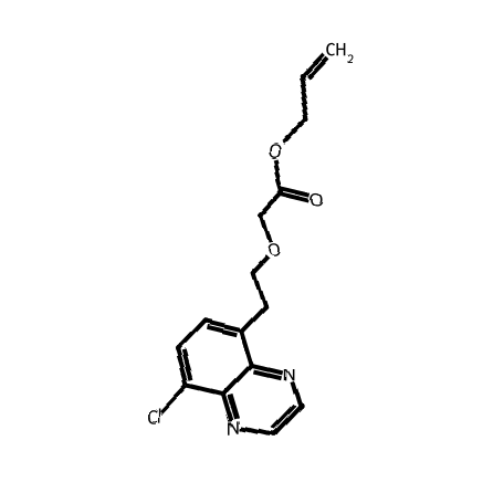 C=CCOC(=O)COCCc1ccc(Cl)c2nccnc12